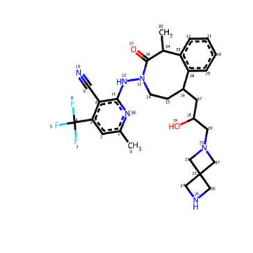 Cc1cc(C(F)(F)F)c(C#N)c(NN2CCC(CC(O)CN3CC4(CNC4)C3)c3ccccc3C(C)C2=O)n1